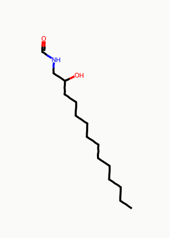 CCCCCCCCCCCCC(O)CNC=O